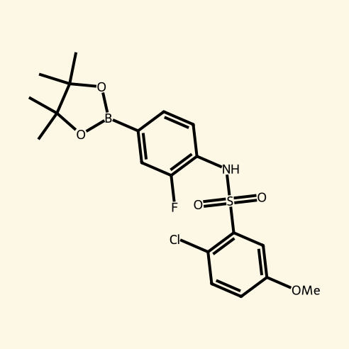 COc1ccc(Cl)c(S(=O)(=O)Nc2ccc(B3OC(C)(C)C(C)(C)O3)cc2F)c1